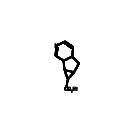 CCOC(=O)C1C2CC3C=CN=CC3C21